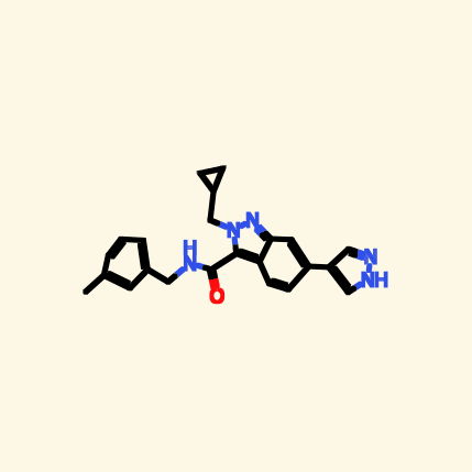 Cc1cccc(CNC(=O)c2c3ccc(-c4cn[nH]c4)cc3nn2CC2CC2)c1